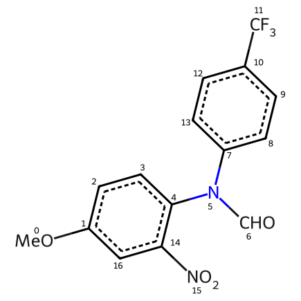 COc1ccc(N(C=O)c2ccc(C(F)(F)F)cc2)c([N+](=O)[O-])c1